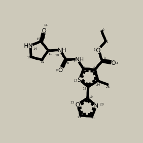 CCOC(=O)c1c(NC(=O)NC2CCNC2=O)sc(-c2ncco2)c1C